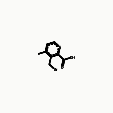 Cc1ccnc(C(=O)O)c1CBr